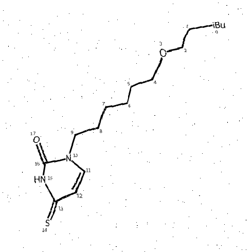 CCC(C)CCOCCCCCCn1ccc(=S)[nH]c1=O